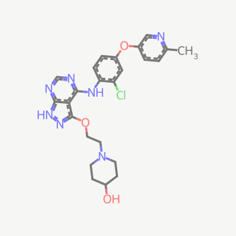 Cc1ccc(Oc2ccc(Nc3ncnc4[nH]nc(OCCN5CCC(O)CC5)c34)c(Cl)c2)cn1